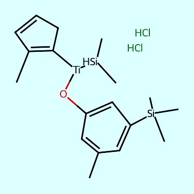 CC1=[C]([Ti]([O]c2cc(C)cc([Si](C)(C)C)c2)[SiH](C)C)CC=C1.Cl.Cl